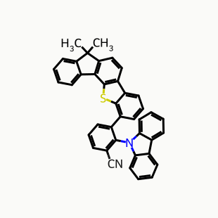 CC1(C)c2ccccc2-c2c1ccc1c2sc2c(-c3cccc(C#N)c3-n3c4ccccc4c4ccccc43)cccc21